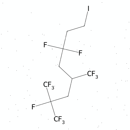 FC(F)(CCI)CC(CC(F)(C(F)(F)F)C(F)(F)F)C(F)(F)F